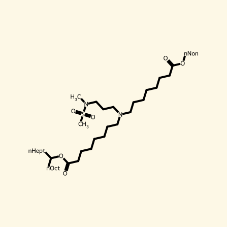 CCCCCCCCCOC(=O)CCCCCCCN(CCCCCCCC(=O)OC(CCCCCCC)CCCCCCCC)CCCN(C)S(C)(=O)=O